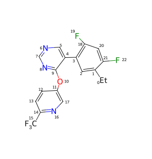 CCc1cc(-c2cncnc2Oc2ccc(C(F)(F)F)nc2)c(F)cc1F